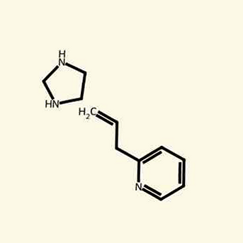 C1CNCN1.C=CCc1ccccn1